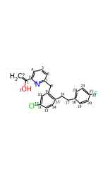 C=C(O)c1cccc(Cc2cc(Cl)ccc2CCc2ccc(F)cc2)n1